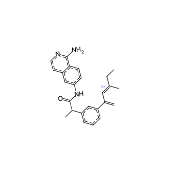 C=C(/C=C(\C)CC)c1cccc(C(C)C(=O)Nc2ccc3c(N)nccc3c2)c1